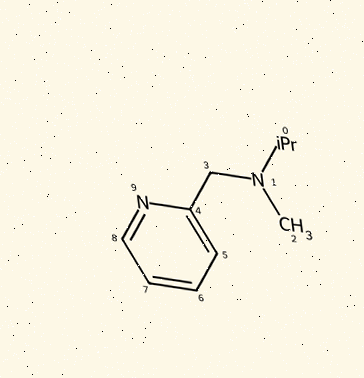 CC(C)N(C)Cc1ccccn1